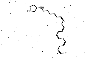 CC/C=C\C/C=C\C/C=C\C/C=C\C/C=C\CCCCCNC1CCNC1